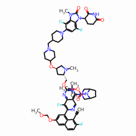 C#Cc1c(F)ccc2cc(OCOC)cc(-c3ncc4c(N5CC6CCC(C5)N6C(=O)OC(C)(C)C)nc(OC[C@@H]5C[C@@H](OC6CCN(CC7CCN(c8cc(F)c9c(c8F)n(C)c(=O)n9C8CCC(=O)NC8=O)CC7)CC6)CN5C)nc4c3F)c12